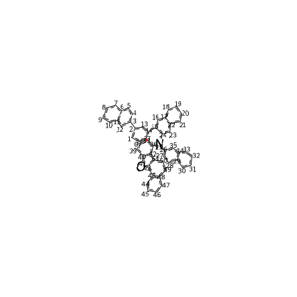 c1cc(-c2ccc3ccccc3c2)cc(-c2cc3ccccc3cc2N(c2ccc3ccccc3c2)c2cccc3oc4c5ccccc5ccc4c23)c1